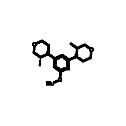 CC1COCCN1c1cc(N2CCOC[C@H]2C)cc(OC(C)(C)C)n1